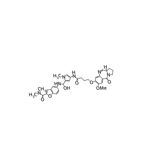 COc1cc2c(cc1OCCCC(=O)Nc1cc(C(O)Nc3ccc4oc(C(=O)N(C)C)cc4c3)n(C)c1)N=C[C@@H]1CCCN1C2=O